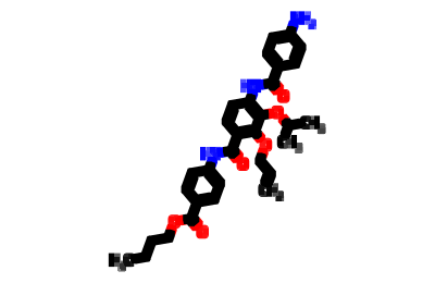 C=CCOc1c(C(=O)Nc2ccc(C(=O)OCCCC)cc2)ccc(NC(=O)c2ccc(N)cc2)c1OC(C)C